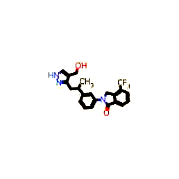 CC(Cc1n[nH]cc1CO)c1cccc(N2Cc3c(cccc3C(F)(F)F)C2=O)c1